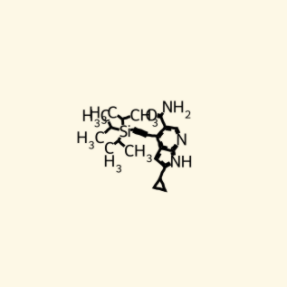 CC(C)[Si](C#Cc1c(C(N)=O)cnc2[nH]c(C3CC3)cc12)(C(C)C)C(C)C